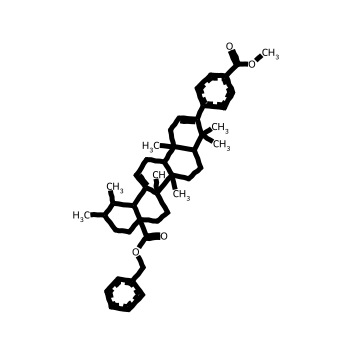 COC(=O)c1ccc(C2=CCC3(C)C(CCC4(C)C3CC=C3C5C(C)C(C)CCC5(C(=O)OCc5ccccc5)CCC34C)C2(C)C)cc1